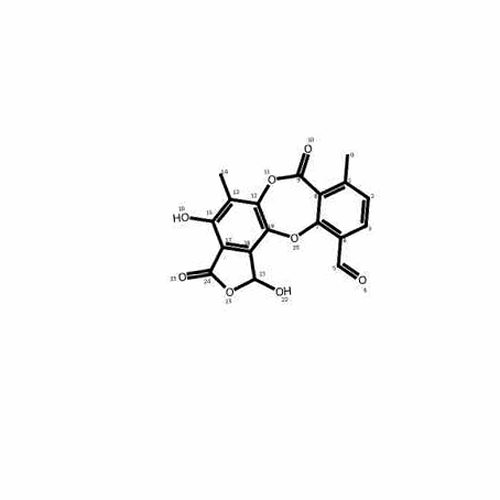 Cc1ccc(C=O)c2c1C(=O)Oc1c(C)c(O)c3c(c1O2)C(O)OC3=O